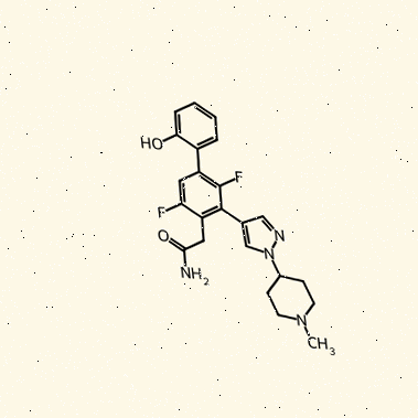 CN1CCC(n2cc(-c3c(F)c(-c4ccccc4O)cc(F)c3CC(N)=O)cn2)CC1